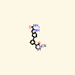 CC(C)CC(C(=O)N(C)C#N)c1cccc(-c2ccc3[nH]c(C(N)=O)cc3c2)c1